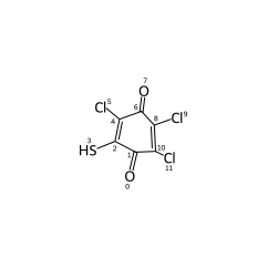 O=C1C(S)=C(Cl)C(=O)C(Cl)=C1Cl